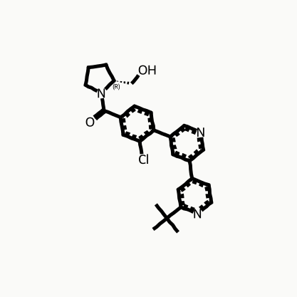 CC(C)(C)c1cc(-c2cncc(-c3ccc(C(=O)N4CCC[C@@H]4CO)cc3Cl)c2)ccn1